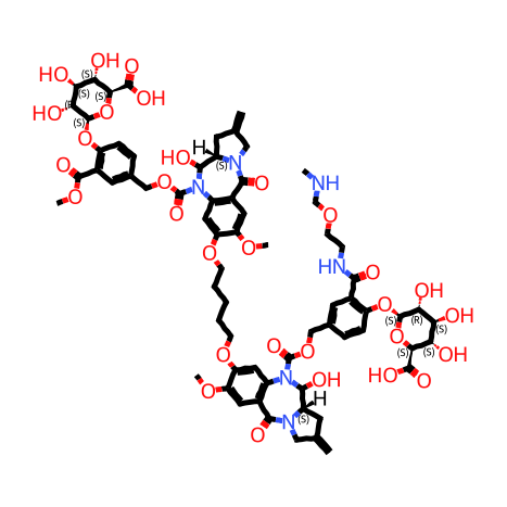 C=C1C[C@H]2C(O)N(C(=O)OCc3ccc(O[C@@H]4O[C@H](C(=O)O)[C@@H](O)[C@H](O)[C@H]4O)c(C(=O)NCCOCNC)c3)c3cc(OCCCCCOc4cc5c(cc4OC)C(=O)N4CC(=C)C[C@H]4C(O)N5C(=O)OCc4ccc(O[C@@H]5O[C@H](C(=O)O)[C@@H](O)[C@H](O)[C@H]5O)c(C(=O)OC)c4)c(OC)cc3C(=O)N2C1